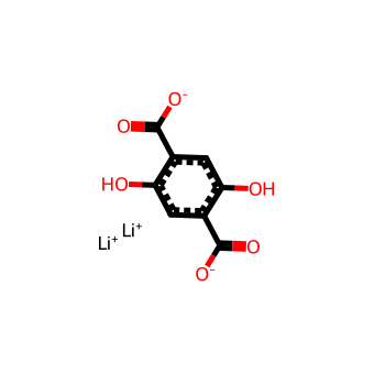 O=C([O-])c1cc(O)c(C(=O)[O-])cc1O.[Li+].[Li+]